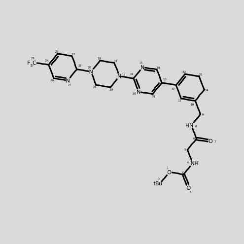 CC(C)(C)OC(=O)NCC(=O)NCC1=CC(c2cnc(N3CCN(C4CC=C(C(F)(F)F)C=N4)CC3)nc2)=CCC1